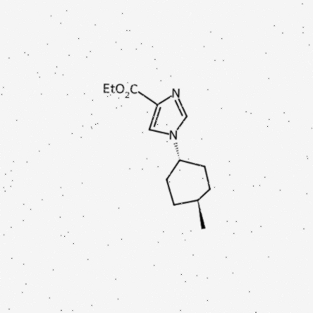 CCOC(=O)c1cn([C@H]2CC[C@H](C)CC2)cn1